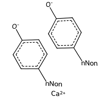 CCCCCCCCCc1ccc([O-])cc1.CCCCCCCCCc1ccc([O-])cc1.[Ca+2]